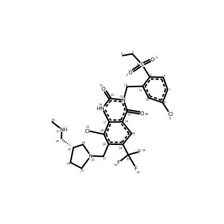 CCS(=O)(=O)c1ccc(Cl)cc1Cn1c(=O)[nH]c2c(Cl)c(CN3CC[C@H](CNC)C3)c(C(F)(F)F)cc2c1=O